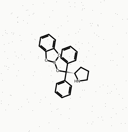 c1ccc(C(OB2Oc3ccccc3O2)(c2ccccc2)[C@@H]2CCCN2)cc1